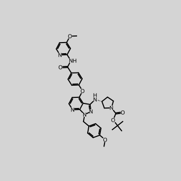 COc1ccc(Cn2nc(N[C@@H]3CCN(C(=O)OC(C)(C)C)C3)c3c(Oc4ccc(C(=O)Nc5cc(OC)ccn5)cc4)ccnc32)cc1